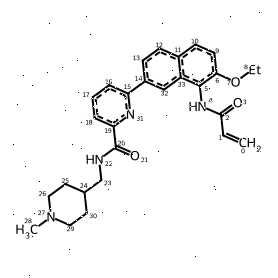 C=CC(=O)Nc1c(OCC)ccc2ccc(-c3cccc(C(=O)NCC4CCN(C)CC4)n3)cc12